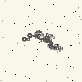 CN(C(=O)O)c1ncnc2c1ccn2[C@@H]1C[C@H](CNCCCN(CCc2cccc(Oc3ccccc3)c2)C(=O)OC(C)(C)C)[C@H]2OC(C)(C)O[C@H]21